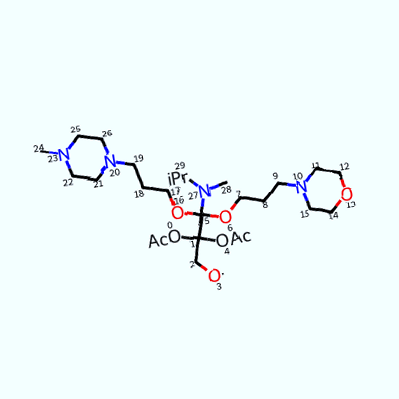 CC(=O)OC(C[O])(OC(C)=O)C(OCCCN1CCOCC1)(OCCCN1CCN(C)CC1)N(C)C(C)C